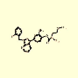 COCCN(C)C(=O)Oc1cnc(-c2nn(Cc3ccccc3F)c3ncccc23)nc1N